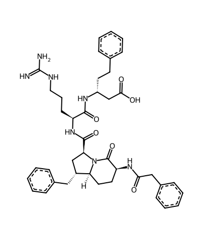 N=C(N)NCCC[C@H](NC(=O)[C@@H]1C[C@@H](Cc2ccccc2)[C@@H]2CC[C@H](NC(=O)Cc3ccccc3)C(=O)N12)C(=O)N[C@H](CCc1ccccc1)CC(=O)O